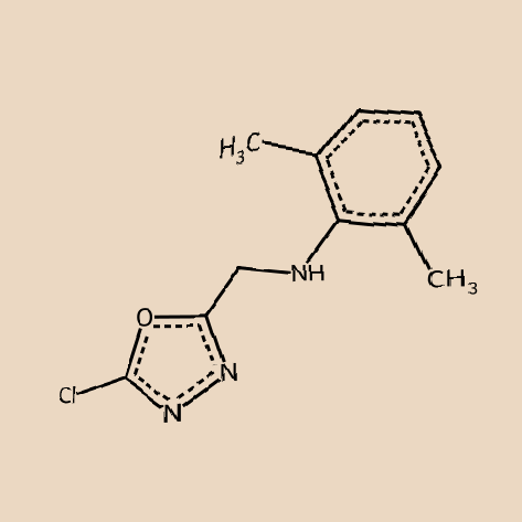 Cc1cccc(C)c1NCc1nnc(Cl)o1